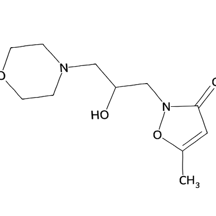 Cc1cc(=O)n(CC(O)CN2CCOCC2)o1